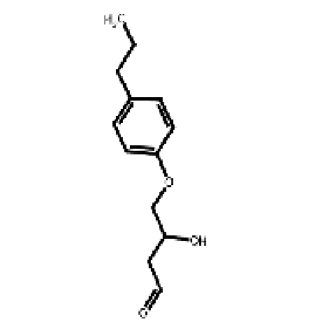 CCCc1ccc(OCC(O)CC=O)cc1